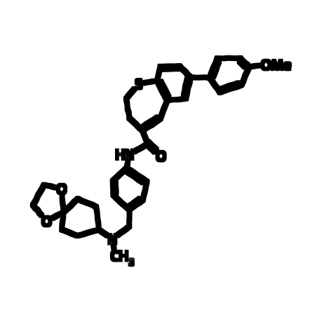 COc1ccc(-c2ccc3c(c2)C=C(C(=O)Nc2ccc(CN(C)C4CCC5(CC4)OCCO5)cc2)CCS3)cc1